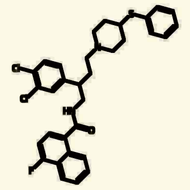 O=C(NCC(CCN1CCC(Sc2ccccc2)CC1)c1ccc(Cl)c(Cl)c1)c1ccc(F)c2ccccc12